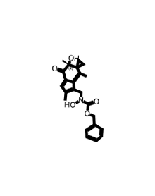 CC1=C(CN(O)C(=O)OCc2ccccc2)C2=C(C)C3(CC3)[C@@](C)(O)C(=O)C2=C1